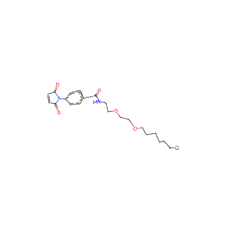 O=C(NCCOCCOCCCCCCCl)c1ccc(N2C(=O)C=CC2=O)cc1